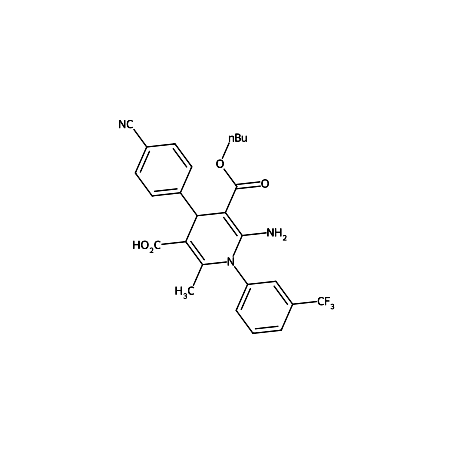 CCCCOC(=O)C1=C(N)N(c2cccc(C(F)(F)F)c2)C(C)=C(C(=O)O)C1c1ccc(C#N)cc1